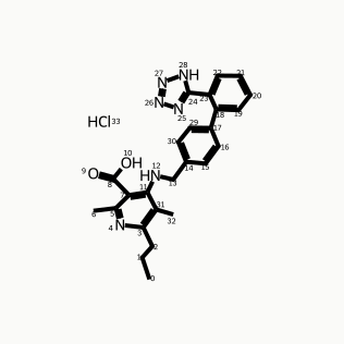 CCCc1nc(C)c(C(=O)O)c(NCc2ccc(-c3ccccc3-c3nnn[nH]3)cc2)c1C.Cl